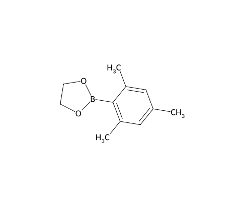 Cc1cc(C)c(B2OCCO2)c(C)c1